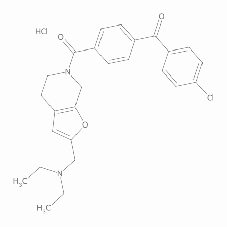 CCN(CC)Cc1cc2c(o1)CN(C(=O)c1ccc(C(=O)c3ccc(Cl)cc3)cc1)CC2.Cl